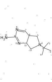 CC(C)(C)N1CC2C=NC(N)=NC2C1